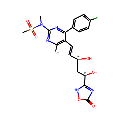 CC(C)c1nc(N(C)S(C)(=O)=O)nc(-c2ccc(F)cc2)c1/C=C/[C@@H](O)C[C@@H](O)c1nc(=O)o[nH]1